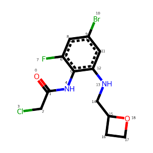 O=C(CCl)Nc1c(F)cc(Br)cc1NCC1CCO1